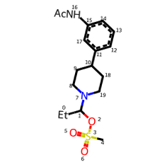 CCC(OS(C)(=O)=O)N1CCC(c2cccc(NC(C)=O)c2)CC1